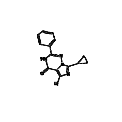 CCc1nc(C2CC2)n2nc(-c3ccccc3)[nH]c(=O)c12